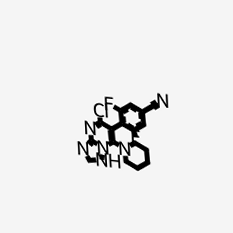 N#Cc1cc(F)c(C2=C(N3CCCCC3)N3NCN=C3N=C2Cl)c(F)c1